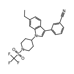 CCc1ccc2c(-c3cccc(C#N)c3)cn(C3CCN(S(=O)(=O)C(F)(F)F)CC3)c2c1